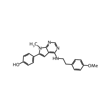 COc1ccc(CCNc2ncnc3c2cc(-c2ccc(O)cc2)n3C)cc1